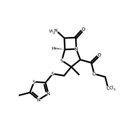 Cc1nnc(SCC2(C)S[C@H]3C(N)C(=O)N3C2C(=O)OCC(Cl)(Cl)Cl)s1